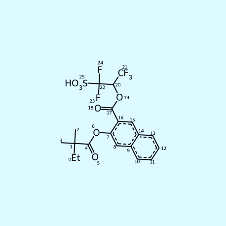 CCC(C)(C)C(=O)Oc1cc2ccccc2cc1C(=O)OC(C(F)(F)F)C(F)(F)S(=O)(=O)O